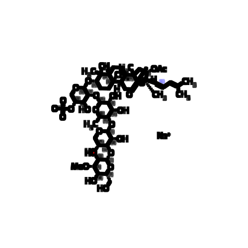 CO[C@@H]1[C@@H](O)[C@H](O[C@@H]2[C@@H](O)[C@H](O[C@H]3[C@H](O)[C@@H](O)[C@H](O[C@H]4[C@H](O[C@H]5CC[C@]6(C)[C@@H]7CC[C@]89C(=O)O[C@@](C)(/C=C/C=C(C)C)[C@H]8[C@@H](OC(C)=O)C[C@@]9(C)C7=CC[C@H]6C5(C)C)OC[C@@H](OS(=O)(=O)[O-])[C@@H]4O)O[C@@H]3C)OC[C@H]2O)O[C@H](CO)[C@H]1O.[Na+]